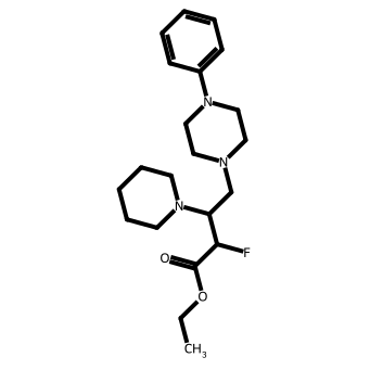 CCOC(=O)C(F)C(CN1CCN(c2ccccc2)CC1)N1CCCCC1